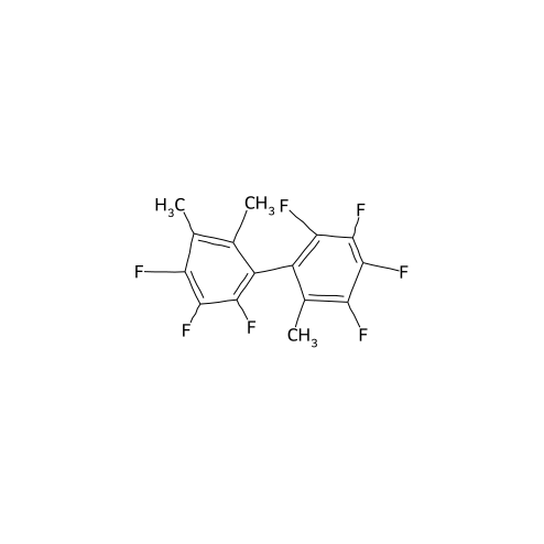 Cc1c(C)c(-c2c(C)c(F)c(F)c(F)c2F)c(F)c(F)c1F